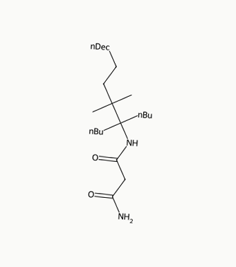 CCCCCCCCCCCCC(C)(C)C(CCCC)(CCCC)NC(=O)CC(N)=O